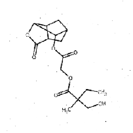 CCC(C)(CO)C(=O)OCC(=O)OC1C2CC3C(=O)OC1C3C2